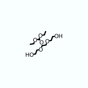 CCOC(=O)OCC.OCCOCCOCCO